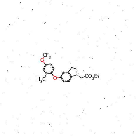 CCOC(=O)C[C@@H]1CCc2cc(Oc3ccc(OC(F)(F)F)cc3C)ccc21